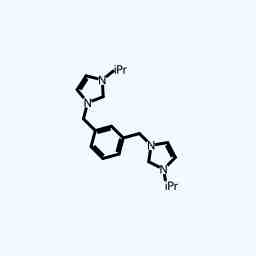 CC(C)N1C=CN(Cc2cccc(CN3C=CN(C(C)C)C3)c2)C1